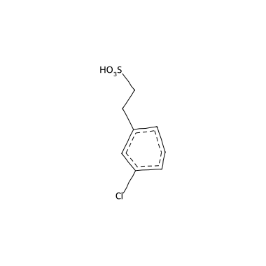 O=S(=O)(O)CCc1cccc(Cl)c1